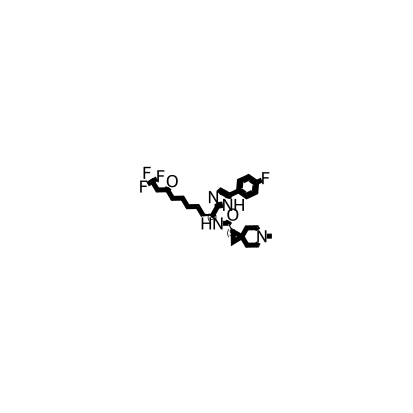 CN1CCC2(CC1)C[C@@H]2C(=O)N[C@@H](CCCCCC(=O)CC(F)(F)F)c1ncc(-c2ccc(F)cc2)[nH]1